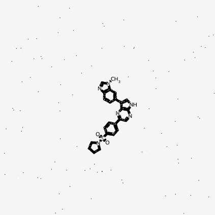 Cn1cnc2ccc(-c3c[nH]c4ncc(-c5ccc(S(=O)(=O)N6CCCC6)cc5)nc34)cc21